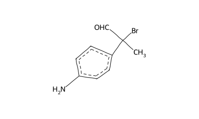 CC(Br)(C=O)c1ccc(N)cc1